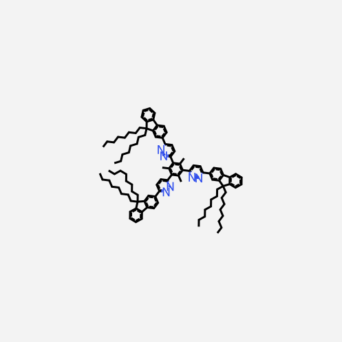 CCCCCCCCC1(CCCCCCCC)c2ccccc2-c2ccc(-c3ccc(-c4c(C)c(-c5ccc(-c6ccc7c(c6)C(CCCCCCCC)(CCCCCCCC)c6ccccc6-7)nn5)c(C)c(-c5ccc(-c6ccc7c(c6)C(CCCCCCCC)(CCCCCCCC)c6ccccc6-7)nn5)c4C)nn3)cc21